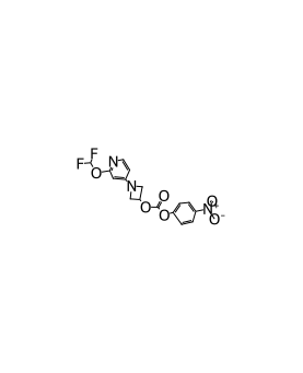 O=C(Oc1ccc([N+](=O)[O-])cc1)OC1CN(c2ccnc(OC(F)F)c2)C1